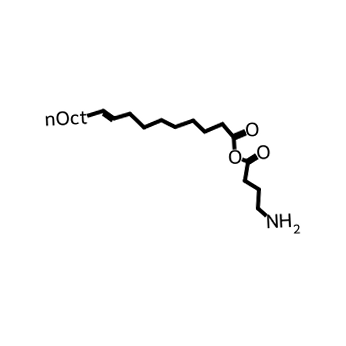 CCCCCCCCC=CCCCCCCCC(=O)OC(=O)CCCN